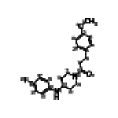 COc1ccc(CCC(=O)N2CCC(Nc3ccc(F)cc3)CC2)cc1